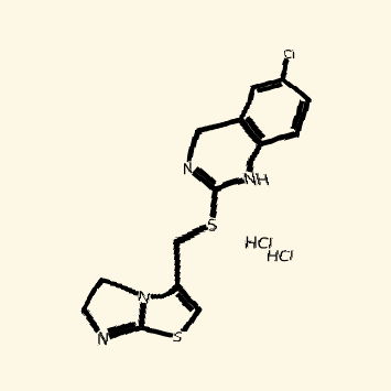 Cl.Cl.Clc1ccc2c(c1)CN=C(SCC1=CSC3=NCCN13)N2